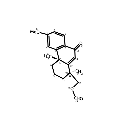 COc1ccc2c(c1)[C@@]1(C)CCC[C@](C)(COC=O)C1=CC2=O